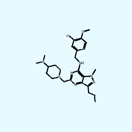 CCCc1nn(C)c2c(NCc3ccc(OC)c(Cl)c3)nc(CN3CCC(N(C)C)CC3)nc12